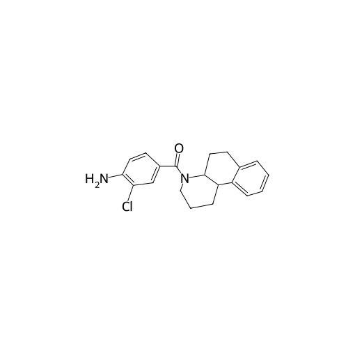 Nc1ccc(C(=O)N2CCCC3c4ccccc4CCC32)cc1Cl